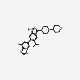 Cc1cc(-c2cc3[nH]nc(C4CCN(C5CCOCC5)CC4)c3cc2C(C)C)cn2ncnc12